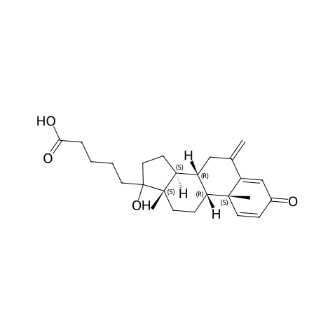 C=C1C[C@@H]2[C@@H](CC[C@@]3(C)[C@H]2CCC3(O)CCCCC(=O)O)[C@@]2(C)C=CC(=O)C=C12